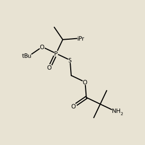 CC(C)C(C)P(=O)(OC(C)(C)C)SCOC(=O)C(C)(C)N